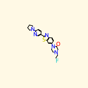 O=C1CN(CCF)CCN1c1ccc2nc(-c3ccc(N4CCCC4)nc3)sc2c1